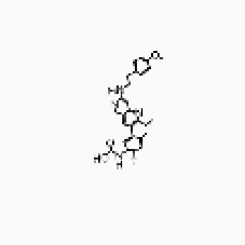 CCc1nc2cc(NCCc3ccc(OC)cc3)ncc2cc1-c1cc(NC(=O)O)c(F)cc1C